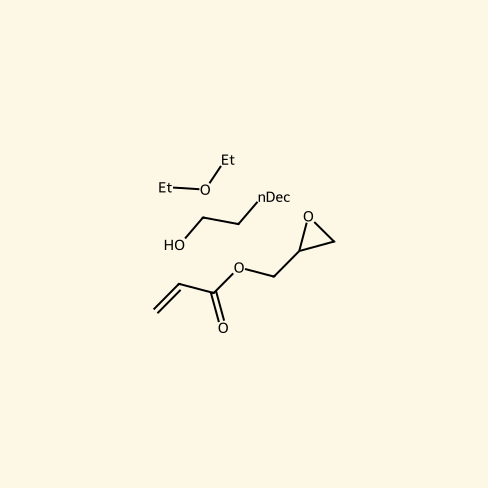 C=CC(=O)OCC1CO1.CCCCCCCCCCCCO.CCOCC